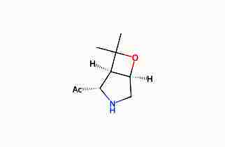 CC(=O)[C@H]1NC[C@@H]2OC(C)(C)[C@@H]21